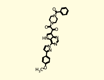 COc1ccc(-c2ccn(-c3ncnc4c(C(=O)C(=O)N5CCN(C(=O)c6ccccc6)CC5)c[nH]c34)n2)cc1